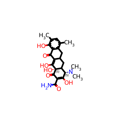 Cc1cc(C)c2c(c1O)C(=O)C1=C(O)[C@]3(O)C(=O)C(C(N)=O)=C(O)[C@@H](N(C)C)C3CC1C2